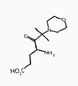 CC(C)(C(=O)C(N)CCC(=O)O)N1CCOCC1